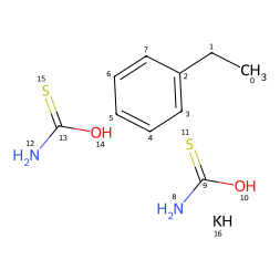 CCc1ccccc1.NC(O)=S.NC(O)=S.[KH]